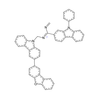 C=N/C(=N\Cn1c2ccccc2c2cc(-c3ccc4oc5ccccc5c4c3)ccc21)c1ccc2c3ccccc3n(-c3ccccc3)c2c1